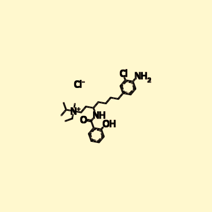 CC[N+](C)(CCC(CCCCc1ccc(N)c(Cl)c1)NC(=O)c1ccccc1O)C(C)C.[Cl-]